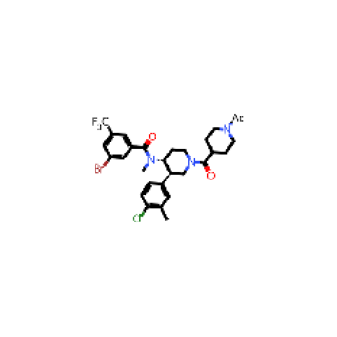 CC(=O)N1CCC(C(=O)N2CC[C@@H](N(C)C(=O)c3cc(Br)cc(C(F)(F)F)c3)[C@H](c3ccc(Cl)c(C)c3)C2)CC1